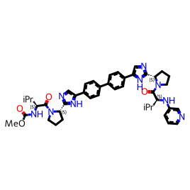 COC(=O)N[C@H](C(=O)N1CCC[C@H]1c1ncc(-c2ccc(-c3ccc(-c4cnc([C@@H]5CCCN5C(=O)[C@@H](Nc5cccnc5)C(C)C)[nH]4)cc3)cc2)[nH]1)C(C)C